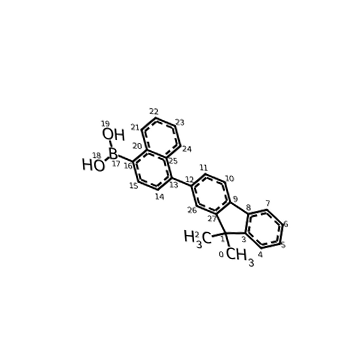 CC1(C)c2ccccc2-c2ccc(-c3ccc(B(O)O)c4ccccc34)cc21